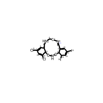 ClC1=CC2CNCC/N=C/C3=CC(I)=CC(I)C3ONOC2C(Cl)=C1